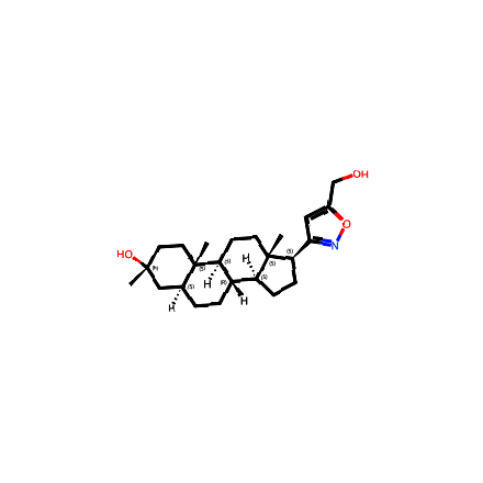 C[C@@]1(O)CC[C@@]2(C)[C@@H](CC[C@@H]3[C@@H]2CC[C@]2(C)[C@@H](c4cc(CO)on4)CC[C@@H]32)C1